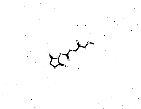 COCC(=O)CCC(=O)ON1C(=O)CCC1=O